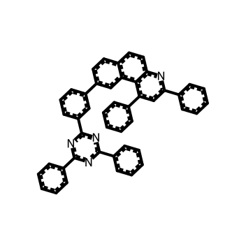 c1ccc(-c2cc(-c3ccccc3)c3c(ccc4ccc(-c5cccc(-c6nc(-c7ccccc7)nc(-c7ccccc7)n6)c5)cc43)n2)cc1